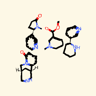 CN1C(=O)CC[C@H]1c1cccnc1.COC(=O)C1=CCCN(C)C1.O=c1cccc2n1C[C@@H]1CNC[C@H]2C1.c1cncc([C@@H]2CCCCN2)c1